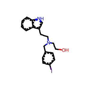 OCCN(CCc1c[nH]c2ccccc12)Cc1ccc(I)cc1